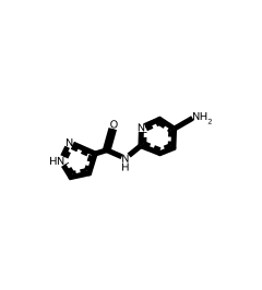 Nc1ccc(NC(=O)c2cc[nH]n2)nc1